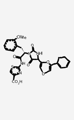 COc1ccccc1C[C@@H](C(=O)Nc1nc(C(=O)O)cs1)N1C(=O)NC(C2=COC=C(C3=CC=CCC3)O2)C1=O